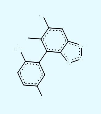 Cc1ccc(O)c(-c2c(Cl)c(Cl)cc3[nH]nnc23)c1